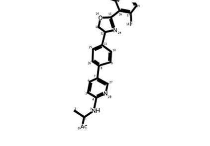 CC(=O)C(C)Nc1ccc(-c2ccc(C3COC(c4c(F)cccc4F)=N3)cc2)cn1